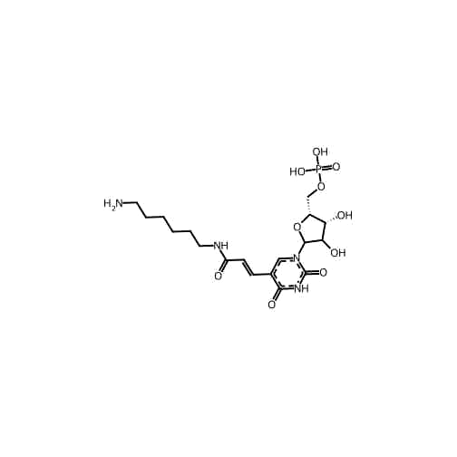 NCCCCCCNC(=O)/C=C/c1cn(C2O[C@H](COP(=O)(O)O)[C@H](O)C2O)c(=O)[nH]c1=O